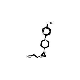 O=Cc1ccc(N2CCC([C@H]3C[C@H]3CCO)CC2)nc1